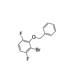 Fc1ccc(F)c(OCc2ccccc2)c1Br